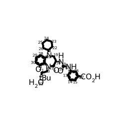 CC(C)(C)C(=O)CN1C(=O)[C@H](NC(=O)Nc2cccc(C(=O)O)c2)CN(C2CCCCC2)c2ccccc21.O